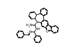 NC(NC(/N=C/c1ccccc1)c1ccccc1)N1c2cc3oc4ccccc4c3cc2-c2ccccc2C2C=CC=CC21